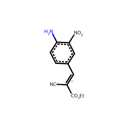 CCOC(=O)/C(C#N)=C/c1ccc(N)c([N+](=O)[O-])c1